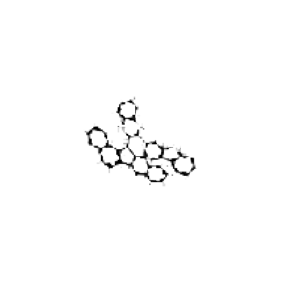 c1ccc2cc3c(cc2c1)-c1ccc2ccccc2c1C3c1nc2ccccc2nc1-c1ccc2c(c1)oc1ccccc12